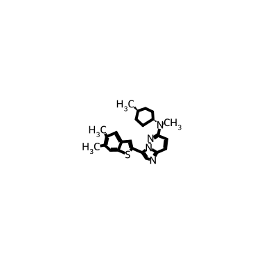 Cc1cc2cc(-c3cnc4ccc(N(C)[C@H]5CC[C@H](C)CC5)nn34)sc2cc1C